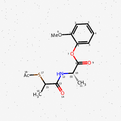 COc1ccccc1OC(=O)[C@H](C)NC(=O)C(C)SC(C)=O